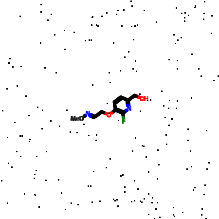 CON=CCOc1ccc(CO)nc1F